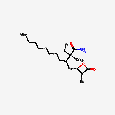 CCCCCCCCCCCCCCCCCC(C[C@@H]1OC(=O)[C@H]1CC)[C@@](CC(C)C)(C(N)=O)C(=O)O